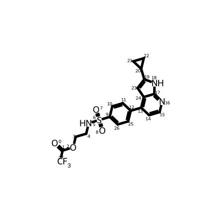 O=C(OCCNS(=O)(=O)c1ccc(-c2ccnc3[nH]c(C4CC4)cc23)cc1)C(F)(F)F